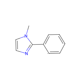 Cn1ccnc1-c1[c]cccc1